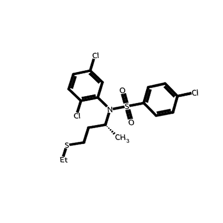 CCSCC[C@@H](C)N(c1cc(Cl)ccc1Cl)S(=O)(=O)c1ccc(Cl)cc1